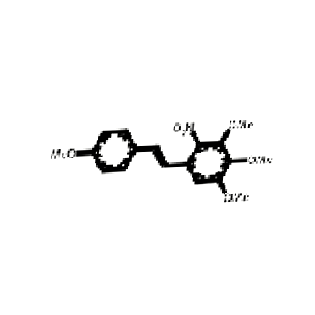 COc1ccc(/C=C/c2cc(OC)c(OC)c(OC)c2[N+](=O)[O-])cc1